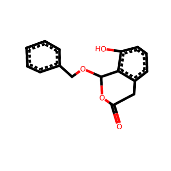 O=C1Cc2cccc(O)c2C(OCc2ccccc2)O1